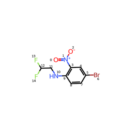 O=[N+]([O-])c1cc(Br)ccc1NCC(F)F